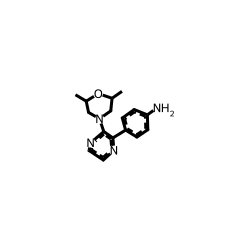 CC1CN(c2nccnc2-c2ccc(N)cc2)CC(C)O1